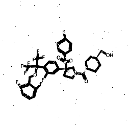 O=C([C@H]1CC[C@H](CO)CC1)N1CC[C@](c2ccc(C(OCc3c(F)cccc3F)(C(F)(F)F)C(F)(F)F)c(F)c2)(S(=O)(=O)c2ccc(F)cc2)C1